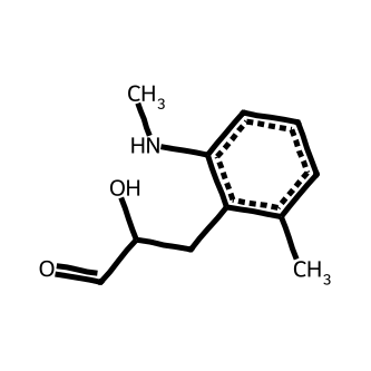 CNc1cccc(C)c1CC(O)C=O